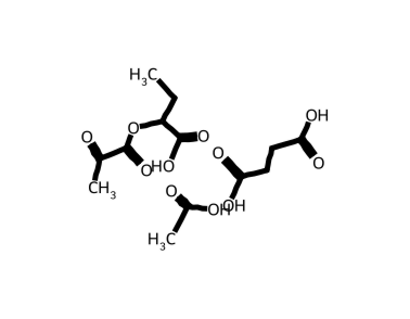 CC(=O)O.CCC(OC(=O)C(C)=O)C(=O)O.O=C(O)CCC(=O)O